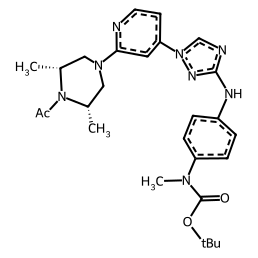 CC(=O)N1[C@H](C)CN(c2cc(-n3cnc(Nc4ccc(N(C)C(=O)OC(C)(C)C)cc4)n3)ccn2)C[C@@H]1C